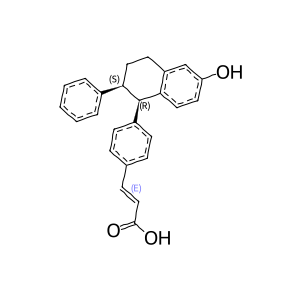 O=C(O)/C=C/c1ccc([C@@H]2c3ccc(O)cc3CC[C@@H]2c2ccccc2)cc1